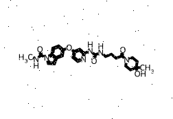 CNC(=O)n1ccc2cc(Oc3ccnc(NC(=O)NCCCC(=O)N4CCC(C)(O)CC4)c3)ccc21